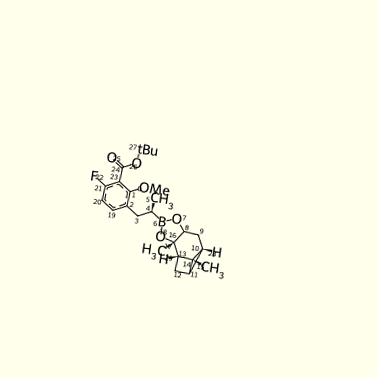 COc1c(C[C@@H](C)B2OC3C[C@@H]4C5C[C@@H]([C@@]54C)[C@]3(C)O2)ccc(F)c1C(=O)OC(C)(C)C